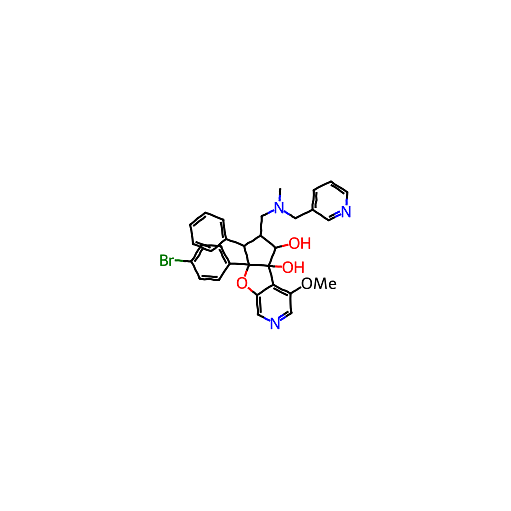 COc1cncc2c1C1(O)C(O)C(CN(C)Cc3cccnc3)C(c3ccccc3)C1(c1ccc(Br)cc1)O2